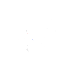 C=CC(N[C@@H](C)C(=O)O)C(=O)OCc1ccccc1